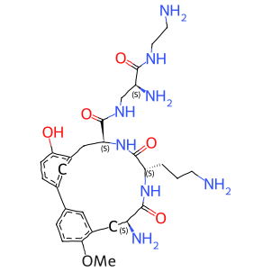 COc1ccc2cc1C[C@H](N)C(=O)N[C@@H](CCCN)C(=O)N[C@H](C(=O)NC[C@H](N)C(=O)NCCN)Cc1cc-2ccc1O